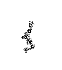 CN1CCN(Cc2ccc(NC(=O)c3n[nH]cc3Nc3ncnc4c3ccn4-c3cc(CCCS(=O)(=O)Cl)ccn3)cc2)CC1